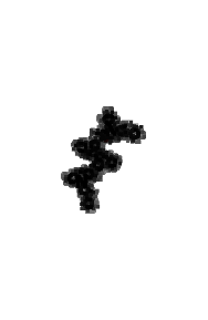 Cc1ccc(N(c2ccc(-c3ccccc3)c(C)c2)c2cc(C)c(-c3ccc4c(c3)C3(CC4(C)c4ccccc4)CC(C)(c4ccccc4)c4ccc(-c5cc(C)c(N(c6ccc(C)cc6)c6ccc(-c7ccccc7)c(C)c6)cc5C)cc43)cc2C)cc1